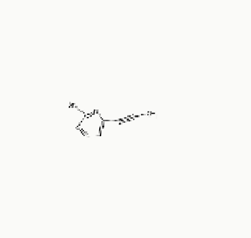 CC#Cc1cccc(Br)n1